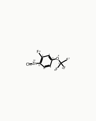 Fc1cc(OC(F)(F)F)cc[c]1[Zn][Cl]